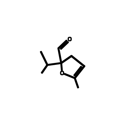 CC1=CCC(C=O)(C(C)C)O1